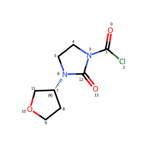 O=C(Cl)N1CCN([C@@H]2CCOC2)C1=O